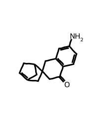 Nc1ccc2c(c1)CC1(CC2=O)CC2=CCC1C2